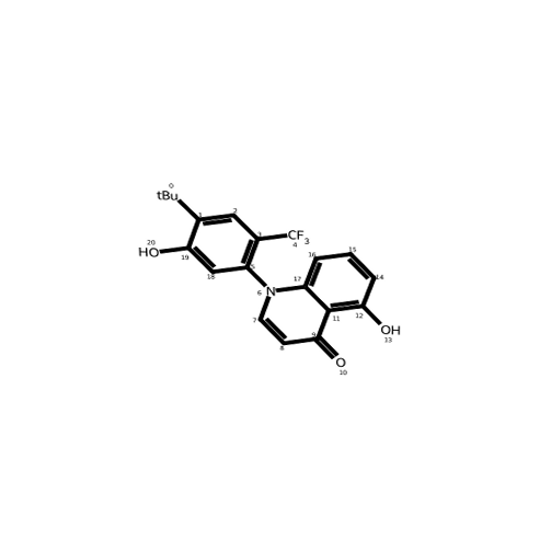 CC(C)(C)c1cc(C(F)(F)F)c(-n2ccc(=O)c3c(O)cccc32)cc1O